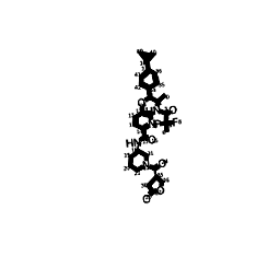 CC(NC(=O)C(C)(F)F)C(Oc1ccc(C(=O)N[C@H]2CCCN(C(=O)[C@H]3COC(=O)C3)C2)nc1)c1ccc(C2CC2)cc1